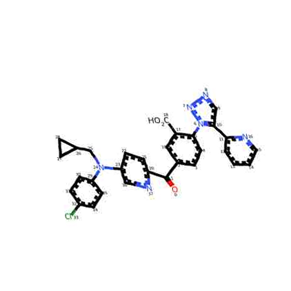 O=C(c1ccc(-n2nncc2-c2ccccn2)c(C(=O)O)c1)c1ccc(N(CC2CC2)c2ccc(Cl)cc2)cn1